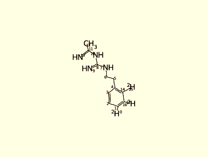 [2H]c1ccc(CCNC(=N)NC(C)=N)c([2H])c1[2H]